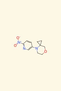 O=[N+]([O-])c1ccc(N2CCOCC23CC3)cn1